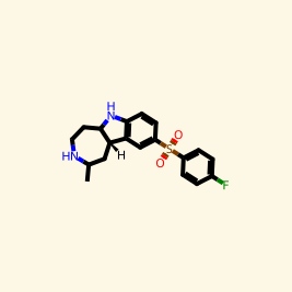 CC1C[C@H]2c3cc(S(=O)(=O)c4ccc(F)cc4)ccc3NC2CCN1